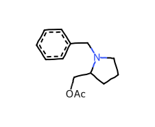 CC(=O)OCC1CCCN1Cc1ccccc1